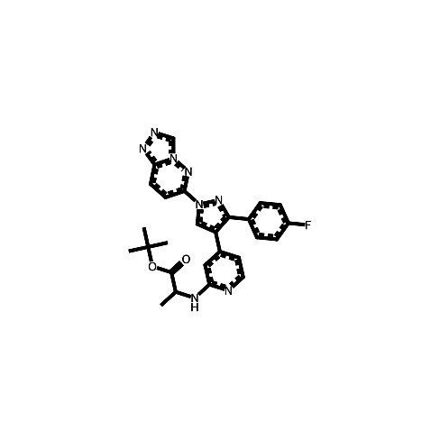 CC(Nc1cc(-c2cn(-c3ccc4nncn4n3)nc2-c2ccc(F)cc2)ccn1)C(=O)OC(C)(C)C